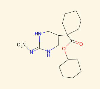 O=C(OC1CCCCC1)C1(C2CNC(=N[N+](=O)[O-])NC2)CCCCC1